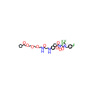 C[C@H](N(Cc1ccc(F)cc1)C(=O)CN1C(=O)O[C@@]2(CCc3cc(NCCC(=O)NCCOCCOCCOCC(=O)C4CCCC4)ccc32)C1=O)C(F)(F)F